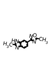 Cc1nc2ccc(-c3noc(C)n3)cc2[nH]1